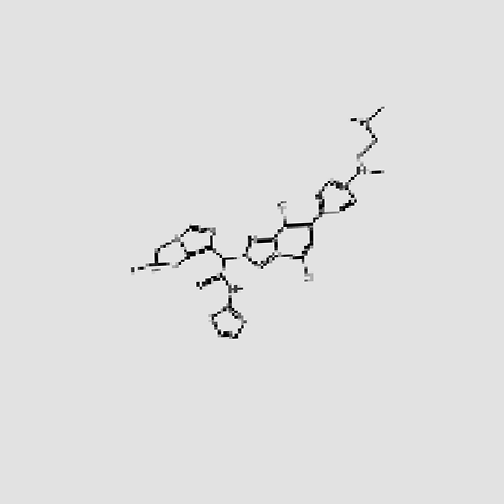 CN(C)CCN(C)c1ccc(-c2cc(Cl)c3cn(C(C(=O)Nc4nccs4)c4ncn5c4C[C@@H](F)C5)nc3c2Cl)cc1